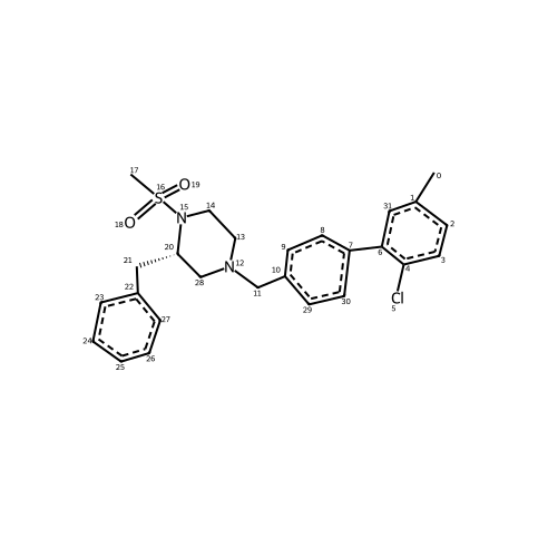 Cc1ccc(Cl)c(-c2ccc(CN3CCN(S(C)(=O)=O)[C@@H](Cc4ccccc4)C3)cc2)c1